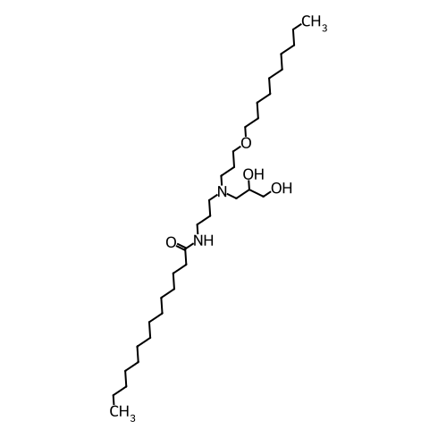 CCCCCCCCCCCCCC(=O)NCCCN(CCCOCCCCCCCCCC)CC(O)CO